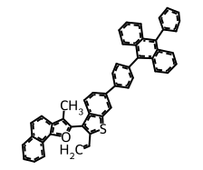 C=Cc1sc2cc(-c3ccc(-c4c5ccccc5c(-c5ccccc5)c5ccccc45)cc3)ccc2c1-c1oc2c(ccc3ccccc32)c1C